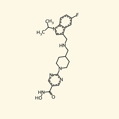 CC(C)n1cc(CNCC2CCN(c3ncc(C(=O)NO)cn3)CC2)c2cc(F)ccc21